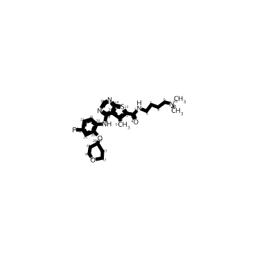 Cc1c(C(=O)NCCCCN(C)C)sc2ncnc(Nc3ccc(F)cc3OC3CCOCC3)c12